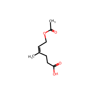 CC(=O)OCC=C(C)CCC(=O)O